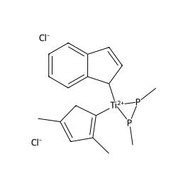 CC1=CC(C)=[C]([Ti+2]2([CH]3C=Cc4ccccc43)[P](C)[P]2C)C1.[Cl-].[Cl-]